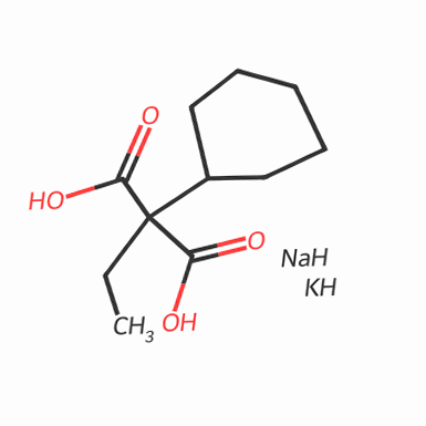 CCC(C(=O)O)(C(=O)O)C1CCCCC1.[KH].[NaH]